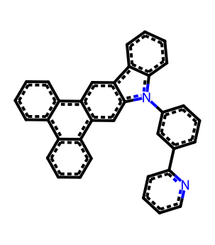 c1ccc(-c2cccc(-n3c4ccccc4c4cc5c6ccccc6c6ccccc6c5cc43)c2)nc1